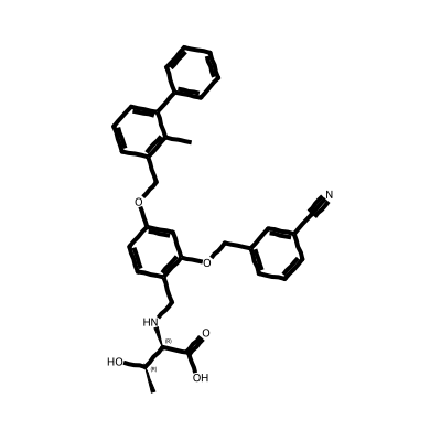 Cc1c(COc2ccc(CN[C@@H](C(=O)O)[C@@H](C)O)c(OCc3cccc(C#N)c3)c2)cccc1-c1ccccc1